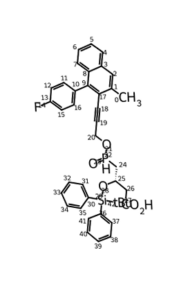 Cc1cc2ccccc2c(-c2ccc(F)cc2)c1C#CCO[PH](=O)C[C@H](CC(=O)O)O[Si](c1ccccc1)(c1ccccc1)C(C)(C)C